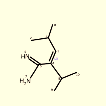 CC(C)/C=C(\C(=N)N)C(C)C